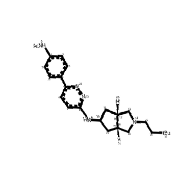 CC(=O)Nc1ccc(-c2ccc(NC3C[C@@H]4CN(CCC(C)(C)C)C[C@@H]4C3)nn2)cc1